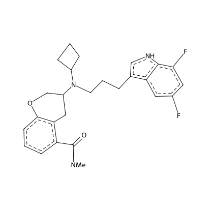 CNC(=O)c1cccc2c1CC(N(CCCc1c[nH]c3c(F)cc(F)cc13)C1CCC1)CO2